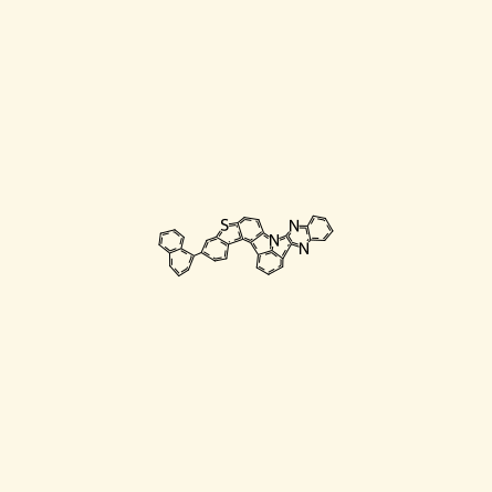 c1ccc2c(-c3ccc4c(c3)sc3ccc5c(c6cccc7c8nc9ccccc9nc8n5c76)c34)cccc2c1